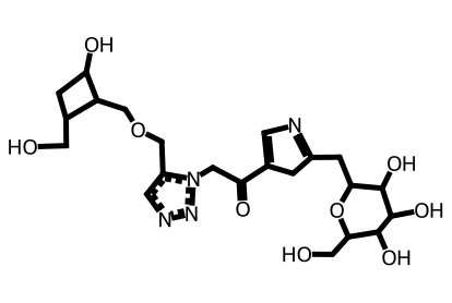 O=C(Cn1nncc1COCC1C(O)CC1CO)C1=CN=C(CC2OC(CO)C(O)C(O)C2O)C1